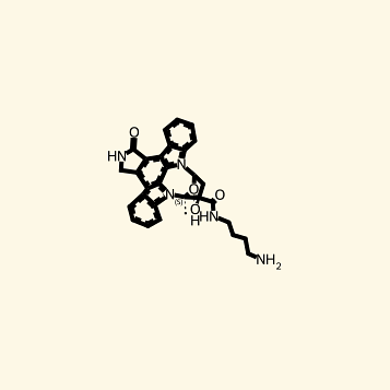 C[C@]12OC(C[C@]1(O)C(=O)NCCCCN)n1c3ccccc3c3c4c(c5c6ccccc6n2c5c31)CNC4=O